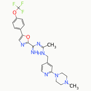 C/C(=N/C(=N)c1ncc(-c2ccc(OC(F)(F)F)cc2)o1)NCc1ccnc(N2CCN(C)CC2)c1